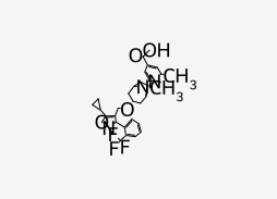 Cc1cc(C(=O)O)cc(N2C3CC(OCc4c(-c5ccccc5C(F)(F)F)noc4C4CC4)CC2[C@H](C)C3)n1